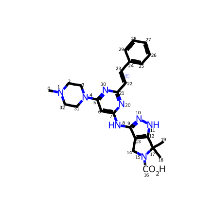 CN1CCN(c2cc(Nc3n[nH]c4c3CN(C(=O)O)C4(C)C)nc(/C=C/c3ccccc3)n2)CC1